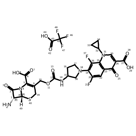 N[C@@H]1C(=O)N2C(C(=O)O)=C(COC(=O)NC3CCN(c4c(F)cc5c(=O)c(C(=O)O)cn(C6CC6)c5c4F)C3)CS[C@H]12.O=C(O)C(F)(F)F